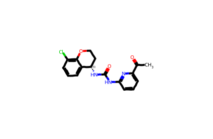 CC(=O)c1cccc(NC(=O)N[C@H]2CCOc3c(Cl)cccc32)n1